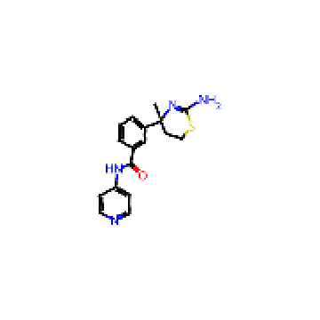 CC1(c2cccc(C(=O)Nc3ccncc3)c2)CCSC(N)=N1